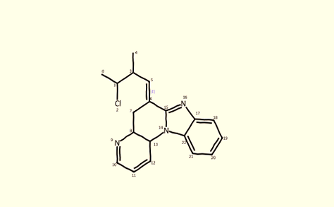 CC(Cl)C(C)/C=C1\CC2N=CC=CC2n2c1nc1ccccc12